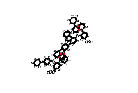 CC(C)(C)c1ccc(-c2ccccc2)c(N(c2ccc(C3CCCCC3)cc2)c2ccc3c4cc5c(cc4n4c6ccccc6c2c34)c2ccc(N(c3ccc(C4CCCCC4)cc3)c3cc(C(C)(C)C)ccc3-c3ccccc3)c3c4ccccc4n5c23)c1